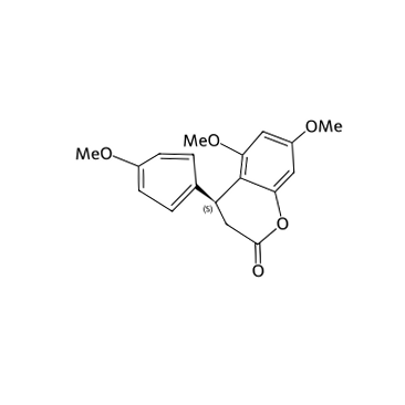 COc1ccc([C@@H]2CC(=O)Oc3cc(OC)cc(OC)c32)cc1